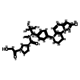 CN(C(=O)[C@H]1CCN(C(=O)CO)C1)[C@@H](c1ccc(N2CCCc3c2cnc2cc(Cl)nn32)cc1)C(F)(F)F